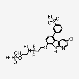 CCN(CCOP(=O)(O)O)C(F)(F)CCOc1ccc(-c2cccc(S(=O)(=O)CC)c2)c2c1[nH]c1ncc(Cl)cc12